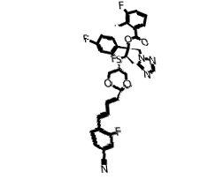 [CH2]c1c(F)cccc1C(=O)O[C@@](Cn1cncn1)(c1ccc(F)cc1F)[C@@H](C)S[C@H]1CO[C@H](/C=C/C=C/c2ccc(C#N)cc2F)OC1